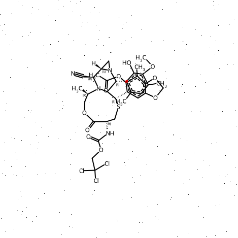 COc1c(C)cc(C)c([C@@H]2C3[C@H](c4cc5c(c(C)c4OC(C)=O)OCO5)SC[C@H](NC(=O)OCC(Cl)(Cl)Cl)C(=O)OC[C@@H](C)N3[C@@H](C#N)[C@@H]3CN23)c1O